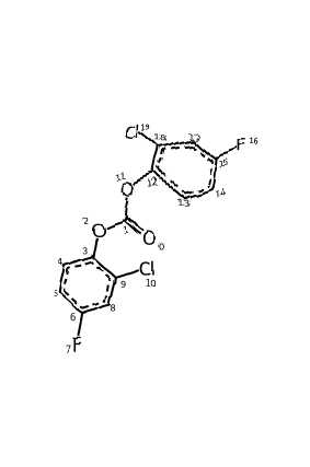 O=C(Oc1ccc(F)cc1Cl)Oc1ccc(F)cc1Cl